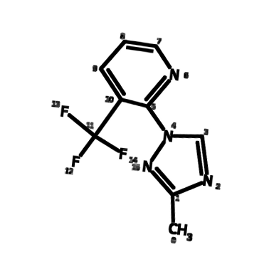 Cc1ncn(-c2ncccc2C(F)(F)F)n1